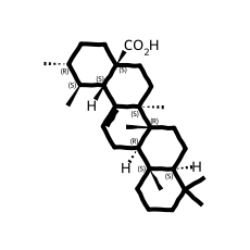 C[C@H]1[C@H](C)CC[C@]2(C(=O)O)CC[C@]3(C)C(=CC[C@@H]4[C@@]5(C)CCCC(C)(C)[C@@H]5CC[C@]43C)[C@H]12